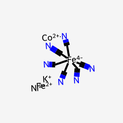 N#[C][Fe-4]([C]#N)([C]#N)([C]#N)([C]#N)[C]#N.[Co+2].[Fe+2].[K+].[Ni+2]